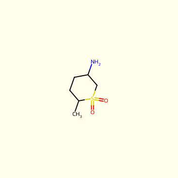 CC1CCC(N)CS1(=O)=O